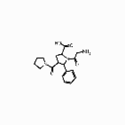 NCC(=O)N1C(C(=O)O)CC(C(=O)N2CCCC2)C1c1ccccc1